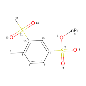 CCCOS(=O)(=O)c1ccc(C)c(S(C)(=O)=O)c1